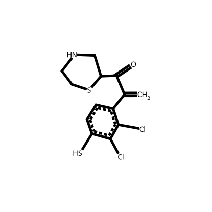 C=C(C(=O)C1CNCCS1)c1ccc(S)c(Cl)c1Cl